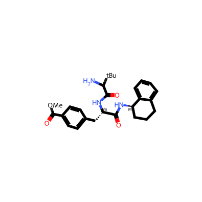 COC(=O)c1ccc(C[C@H](NC(=O)C(N)C(C)(C)C)C(=O)N[C@@H]2CCCc3ccccc32)cc1